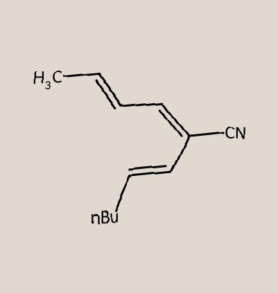 CC=CC=C(C#N)C=CCCCC